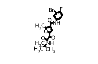 Cc1oc(C(=O)C(=O)NC(C)(C)C)cc1C(=O)Nc1ccc(F)c(Br)c1